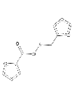 O=C(OSCc1ccco1)c1ccco1